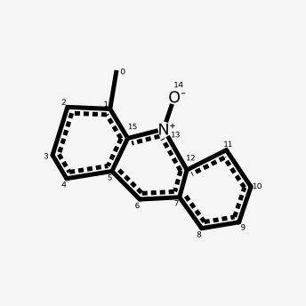 Cc1cccc2cc3ccccc3[n+]([O-])c12